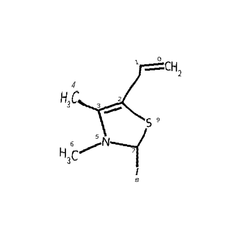 C=CC1=C(C)N(C)C(I)S1